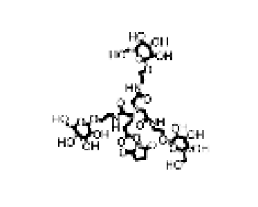 O=C(CN(CC(=O)NCCO[C@H]1O[C@H](CO)[C@@H](O)[C@H](O)[C@@H]1O)[C@@H](CCC(=O)ON1C(=O)CCC1=O)C(=O)NCCO[C@H]1O[C@H](CO)[C@@H](O)[C@H](O)[C@@H]1O)NCCO[C@H]1O[C@H](CO)[C@@H](O)[C@H](O)[C@@H]1O